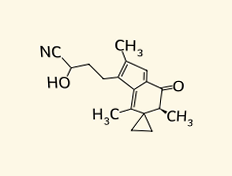 CC1=C(CCC(O)C#N)C2=C(C)C3(CC3)[C@H](C)C(=O)C2=C1